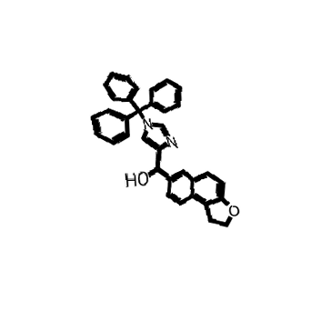 OC(c1ccc2c3c(ccc2c1)OCC3)c1cn(C(c2ccccc2)(c2ccccc2)c2ccccc2)cn1